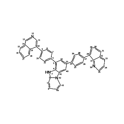 C1=CC2Nc3c(-c4ccc(-c5cncc6ccccc56)cc4)cc(-c4ccc(-c5cccc6cccnc56)cc4)cc3N2C=C1